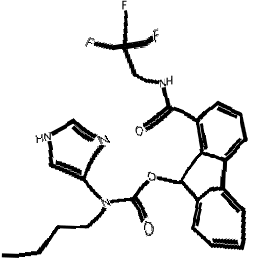 CCCCN(C(=O)OC1c2ccccc2-c2cccc(C(=O)NCC(F)(F)F)c21)c1c[nH]cn1